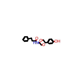 O=C(CCc1ccccc1)NC1COC(c2ccc(O)cc2)CO1